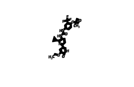 CCOc1cc(-c2ccc(NC(=O)Nc3ccc(OC4(C)COC4)c(C(F)(F)F)c3)c(C3CC3)n2)c[nH]c1=O